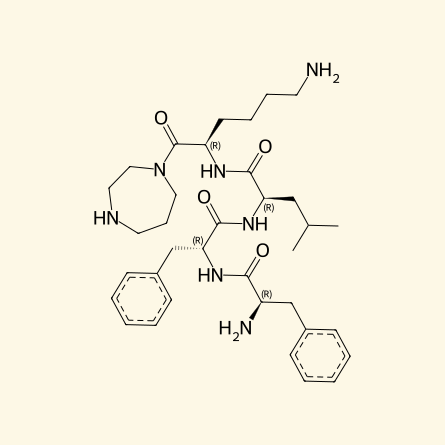 CC(C)C[C@@H](NC(=O)[C@@H](Cc1ccccc1)NC(=O)[C@H](N)Cc1ccccc1)C(=O)N[C@H](CCCCN)C(=O)N1CCCNCC1